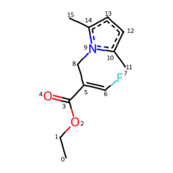 CCOC(=O)/C(=C/F)Cn1c(C)ccc1C